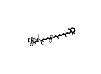 [CH2][CH]COP(=O)(O)OCCNC(=O)CCCC(=O)OC/C=C(C)/C=C/C=C(C)/C=C/C1=C(C)CCCC1(C)C